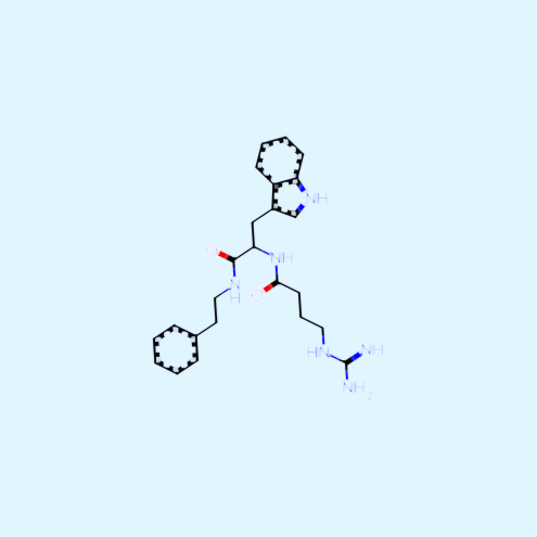 N=C(N)NCCCC(=O)NC(Cc1c[nH]c2ccccc12)C(=O)NCCc1ccccc1